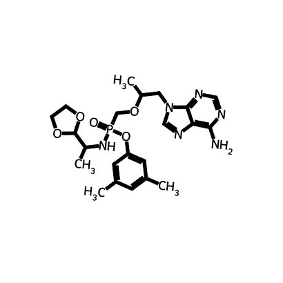 Cc1cc(C)cc(OP(=O)(COC(C)Cn2cnc3c(N)ncnc32)NC(C)C2OCCO2)c1